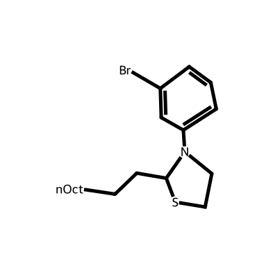 CCCCCCCCCCC1SCCN1c1cccc(Br)c1